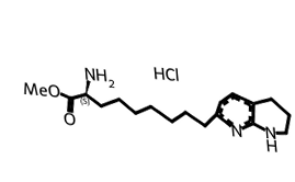 COC(=O)[C@@H](N)CCCCCCCc1ccc2c(n1)NCCC2.Cl